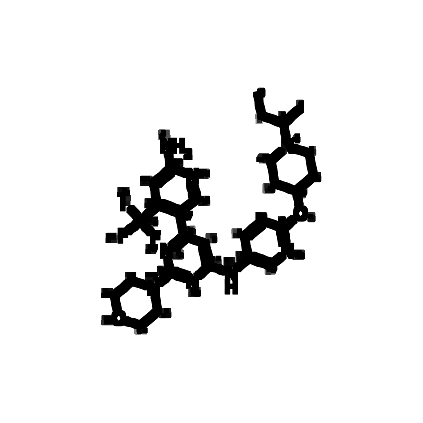 CCC(C)N1CCC(Oc2ccc(Nc3cc(-c4cnc(N)cc4C(F)(F)F)nc(N4CCOCC4)n3)cn2)CC1